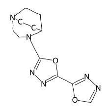 c1nnc(-c2nnc(N3CCN4CCC3CC4)o2)o1